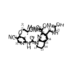 COC[C@@H](C)Oc1cc(NC(=O)N2CCCc3cc(CN[C@@H](C)CO)c(C(OC)OC)nc32)ncc1C#N